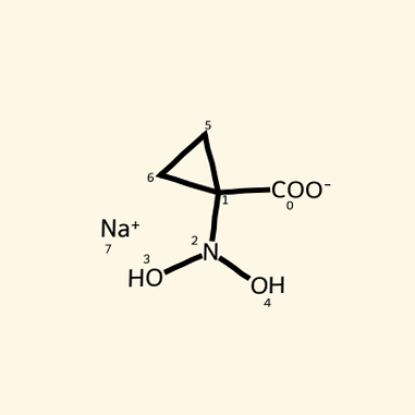 O=C([O-])C1(N(O)O)CC1.[Na+]